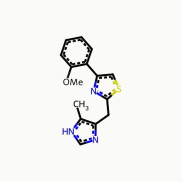 COc1ccccc1-c1csc(Cc2nc[nH]c2C)n1